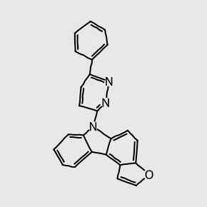 c1ccc(-c2ccc(-n3c4ccccc4c4c5ccoc5ccc43)nn2)cc1